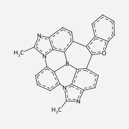 Cc1nc2ccc3c4c2n1-c1cccc2c1B4c1c(ccc4nc(C)n-2c14)-c1c-3oc2ccccc12